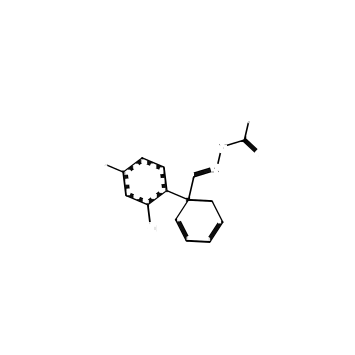 CCC(=O)NN=CC1(c2ccc(O)cc2O)C=CC=CC1